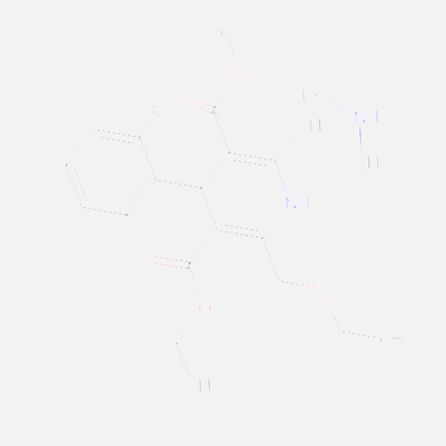 CCOCC1=C(C(=O)OCC)C(c2ccccc2Br)C(C(=O)OC)=C(C)N1.CNC